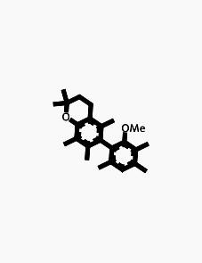 COc1c(C)c(C)[c]c(C)c1-c1c(C)c(C)c2c(c1C)CCC(C)(C)O2